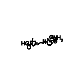 CN(CCC[C@@H]1CN(C(=O)O)C(C)(C)C1)c1cccc(S(N)(=O)=O)n1